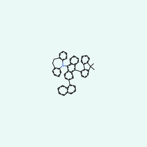 CC1(C)c2ccccc2-c2c(-c3c4ccccc4c(N4c5ccccc5CCc5ccccc54)c4ccc(-c5cccc6ccccc56)cc34)cccc21